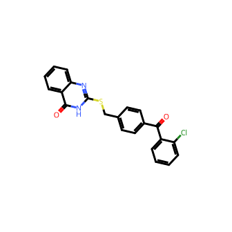 O=C(c1ccc(CSc2nc3ccccc3c(=O)[nH]2)cc1)c1ccccc1Cl